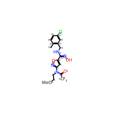 COCCN(C(=O)C(F)(F)F)c1cc(C(=NO)NCc2cc(Cl)ccc2C)on1